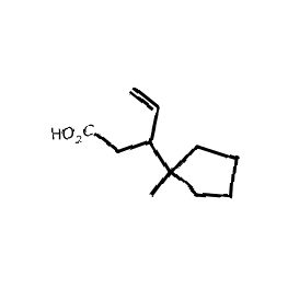 C=CC(CC(=O)O)C1(C)CCCC1